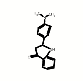 CN(C)c1ccc(C2CC(=O)c3ccccc3N2)cc1